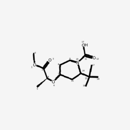 COC(=O)[C@H](C)OC1CCN(C(=O)O)C(C(C)(C)C)C1